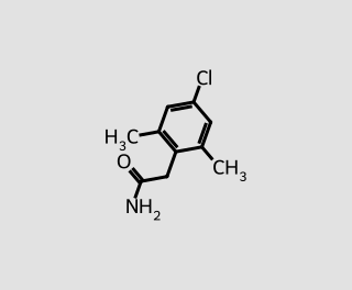 Cc1cc(Cl)cc(C)c1CC(N)=O